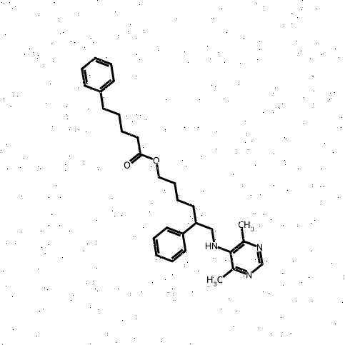 Cc1ncnc(C)c1NCC(CCCCOC(=O)CCCCc1ccccc1)c1ccccc1